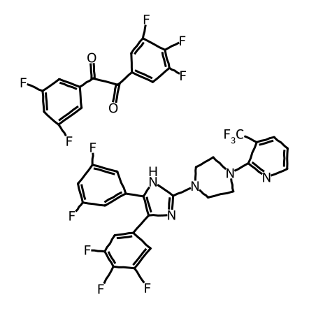 Fc1cc(F)cc(-c2[nH]c(N3CCN(c4ncccc4C(F)(F)F)CC3)nc2-c2cc(F)c(F)c(F)c2)c1.O=C(C(=O)c1cc(F)c(F)c(F)c1)c1cc(F)cc(F)c1